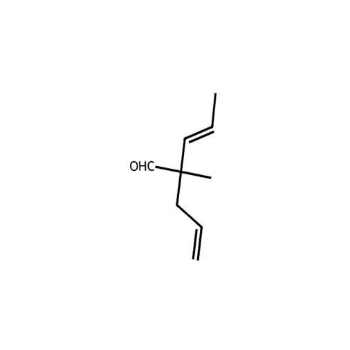 C=CCC(C)(C=O)C=CC